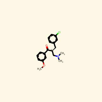 COc1cccc(C(=O)[C@@H](Cc2cccc(Cl)c2)CN(C)C)c1